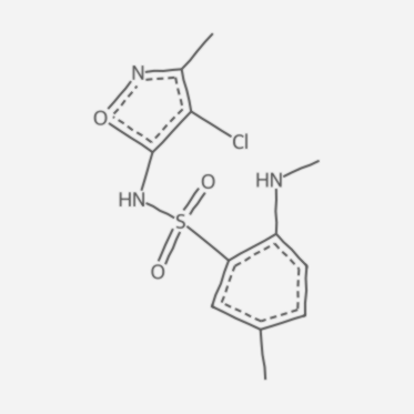 CNc1ccc(C)cc1S(=O)(=O)Nc1onc(C)c1Cl